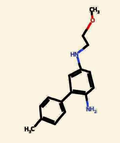 COCCNc1ccc(N)c(-c2ccc(C)cc2)c1